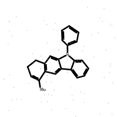 CC(C)(C)C1=CCCc2cc3c(cc21)c1ccccc1n3-c1ccccc1